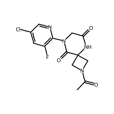 CC(=O)N1CC2(C1)NC(=O)CN(c1ncc(Cl)cc1F)C2=O